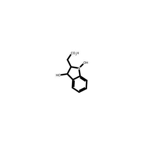 O=C(O)CC1C(O)c2ccccc2N1O